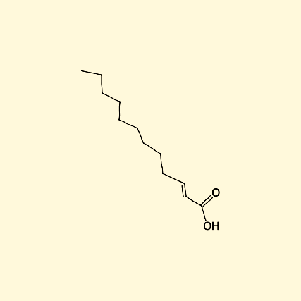 CCCCCCCCC/C=C/C(=O)O